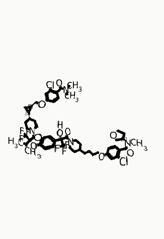 CC(C)C(Oc1ccc([C@@](O)(C(=O)N2CCC(CCCCOc3ccc(C(=O)N(C)[C@H]4CCOC4)c(Cl)c3)CC2)C(F)(F)F)cc1)(C(=O)N1CCC([C@@H]2C[C@H]2COc2ccc(C(=O)N(C)C)c(Cl)c2)CC1)C(F)(F)F